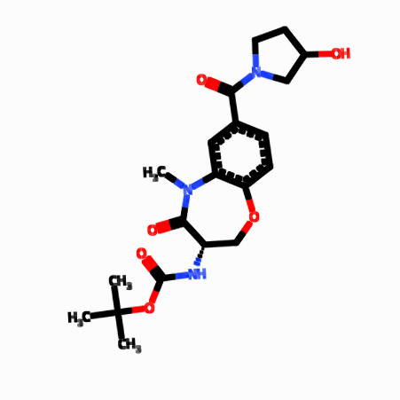 CN1C(=O)[C@@H](NC(=O)OC(C)(C)C)COc2ccc(C(=O)N3CCC(O)C3)cc21